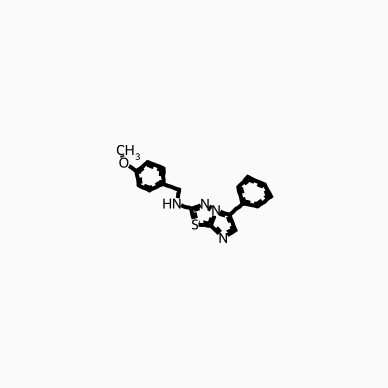 COc1ccc(CNc2nn3c(-c4ccccc4)cnc3s2)cc1